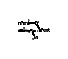 CCCCCOCCCCC.CCC[CH2][Sn][CH2]C